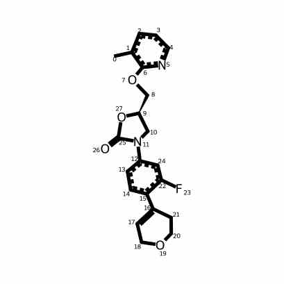 Cc1cccnc1OC[C@H]1CN(c2ccc(C3=CCOCC3)c(F)c2)C(=O)O1